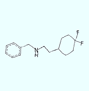 FC1(F)CCC(CCNCc2ccccc2)CC1